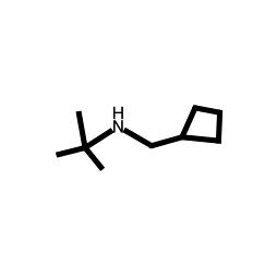 CC(C)(C)NCC1CCC1